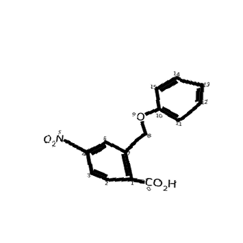 O=C(O)c1ccc([N+](=O)[O-])cc1COc1ccccc1